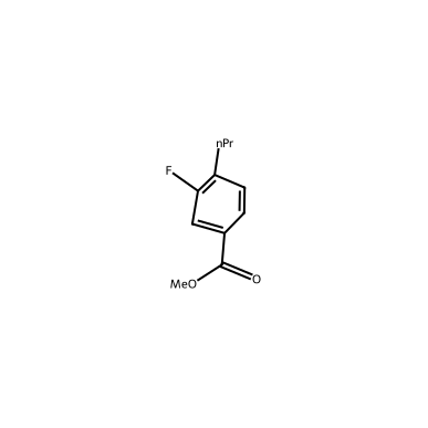 CCCc1ccc(C(=O)OC)cc1F